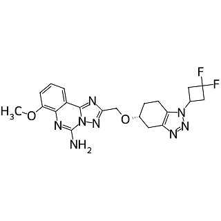 COc1cccc2c1nc(N)n1nc(CO[C@@H]3CCc4c(nnn4C4CC(F)(F)C4)C3)nc21